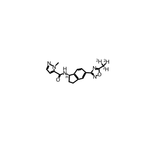 [2H]C([2H])([2H])c1nc(-c2ccc3c(c2)CC[C@H]3NC(=O)c2ccnn2C)no1